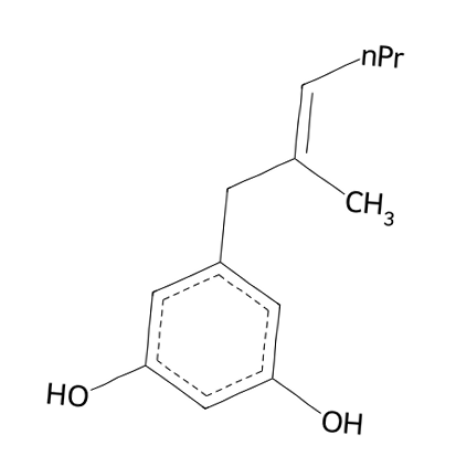 CCC/C=C(\C)Cc1cc(O)cc(O)c1